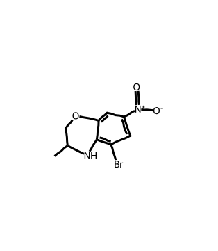 CC1COc2cc([N+](=O)[O-])cc(Br)c2N1